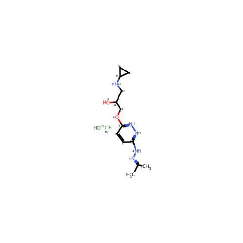 CC(C)=NNc1ccc(OCC(O)CNC2CC2)nn1.Cl.Cl